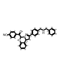 N#Cc1ccc(C(=O)C2Oc3ccccc3C3CC(c4ccc(CNCc5ccccc5)cc4)=NN23)cc1